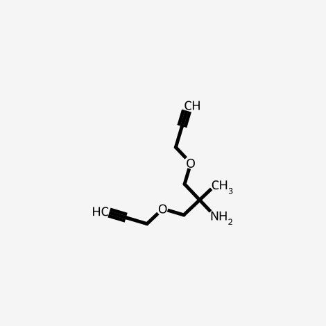 C#CCOCC(C)(N)COCC#C